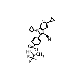 C[C@H](NS(=O)(=O)c1ccc(-c2c(C#N)c3cc(C4CC4)ncc3n2C2CCC2)cc1)C(F)(F)F